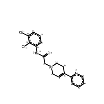 O=C(CN1CC=C(c2ccccn2)CC1)Nc1cccc(Cl)c1Cl